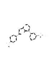 CS(=O)(=O)c1cccc(-c2ccnc3cc(-c4ccc([S@](C)(=N)=O)cc4)oc23)c1